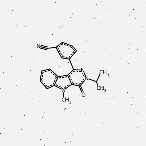 CC(C)n1nc(-c2cccc(C#N)c2)c2c3ccccc3n(C)c2c1=O